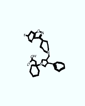 O=C(O)CC1(N2CC(CN3CCC(c4noc5cc(F)ccc45)CC3)C(c3ccccc3)C2)CCCCC1